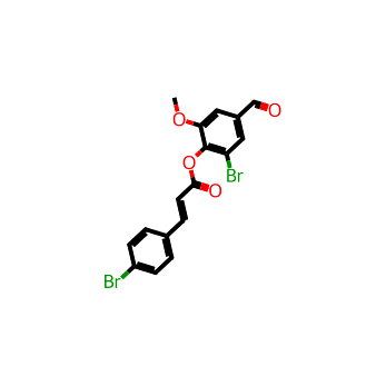 COc1cc(C=O)cc(Br)c1OC(=O)/C=C/c1ccc(Br)cc1